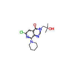 CC(C)(O)Cn1cnc2c(N3CCCCC3)nc(Cl)cc2c1=O